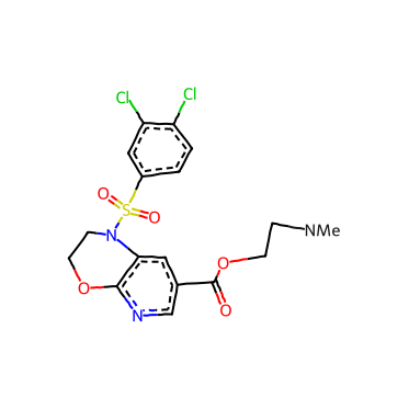 CNCCOC(=O)c1cnc2c(c1)N(S(=O)(=O)c1ccc(Cl)c(Cl)c1)CCO2